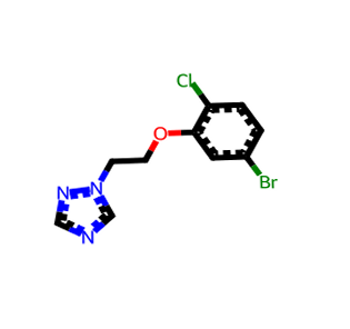 Clc1ccc(Br)cc1OCCn1cncn1